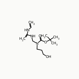 C=CNC(=C)NCN(CCCO)C(=O)OC(C)(C)C